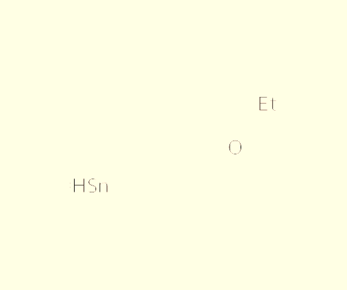 CCOC=[CH][SnH]